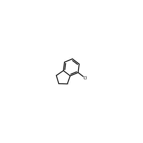 Clc1cccc2c1[CH]CC2